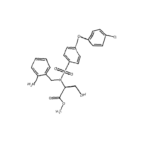 COC(=O)C(CO)N(Cc1ccccc1N)S(=O)(=O)c1ccc(Oc2ccc(Cl)cc2)cc1